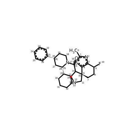 Cc1nc2c(s1)[C@]1(CCC2F)CNCC1C(=O)N1CC[C@@H](c2ccccc2)C[C@H]1C1CCCCC1